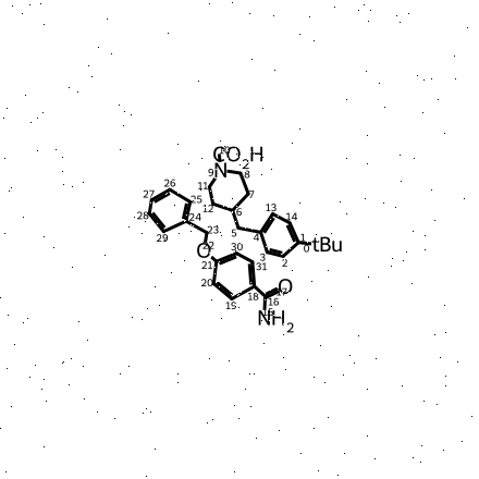 CC(C)(C)c1ccc(CC2CCN(C(=O)O)CC2)cc1.NC(=O)c1ccc(OCc2ccccc2)cc1